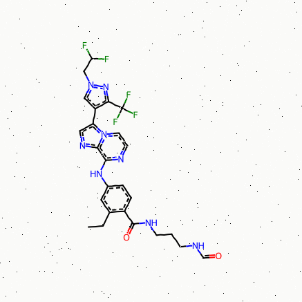 CCc1cc(Nc2nccn3c(-c4cn(CC(F)F)nc4C(F)(F)F)cnc23)ccc1C(=O)NCCCNC=O